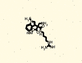 CCCCOC(=O)C(CN)(C(=O)NCCCCNC(=N)N)c1cn(C)c2ccccc12